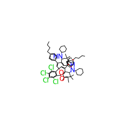 CCCCc1ccc(C(=CC2(C=C(C3=CC(C)=C(C)C(C)(C)C3NC3CCCCC3)c3ccc(CCCC)cc3)OC(=O)c3c(Cl)c(Cl)c(Cl)c(Cl)c32)C2=CC(C)=C(C)C(C)(C)C2NC2CCCCC2)cc1